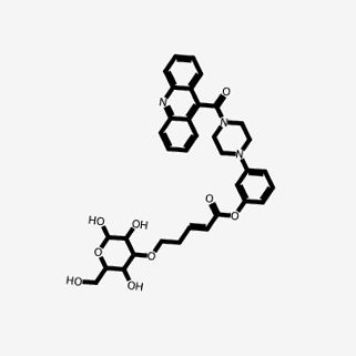 O=C(C=CCCOC1C(O)C(O)OC(CO)C1O)Oc1cccc(N2CCN(C(=O)c3c4ccccc4nc4ccccc34)CC2)c1